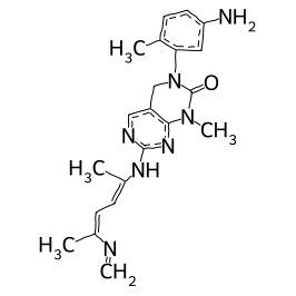 C=N/C(C)=C\C=C(/C)Nc1ncc2c(n1)N(C)C(=O)N(c1cc(N)ccc1C)C2